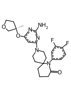 C[C@@]1(Oc2cc(N3CCC4(CCCC(=O)N4c4ccc(F)c(F)c4)CC3)nc(N)n2)CCOC1